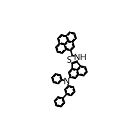 c1ccc(-c2cccc(N(c3ccccc3)c3cc4c5c(cccc5c3)C3=C4SC(c4cc5cccc6ccc7cccc4c7c65)N3)c2)cc1